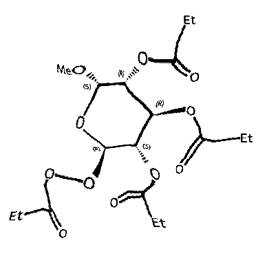 CCC(=O)OO[C@H]1O[C@H](OC)[C@H](OC(=O)CC)[C@@H](OC(=O)CC)[C@@H]1OC(=O)CC